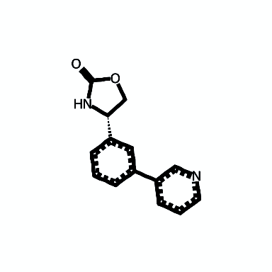 O=C1N[C@@H](c2cccc(-c3cccnc3)c2)CO1